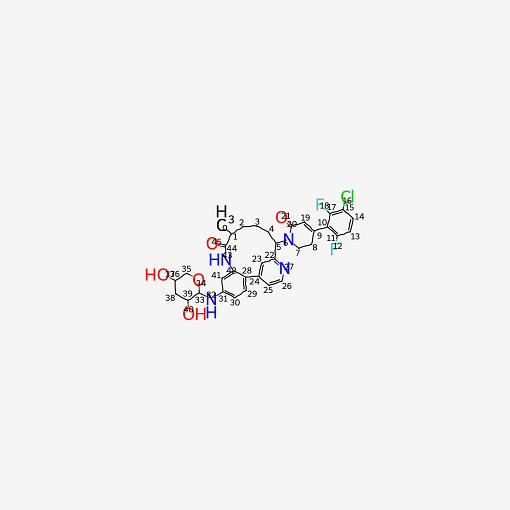 CC1CCCC(N2CCC(c3c(F)ccc(Cl)c3F)=CC2=O)c2cc(ccn2)-c2ccc(NC3OCC(O)CC3O)cc2NC1=O